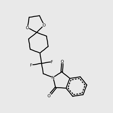 O=C1c2ccccc2C(=O)N1CC(F)(F)C1CCC2(CC1)OCCO2